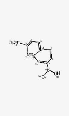 O=C(O)c1ccc2ccc(B(O)O)cc2n1